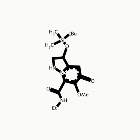 CCNC(=O)c1c(OC)c(=O)cc2n1NCC2O[Si](C)(C)C(C)(C)C